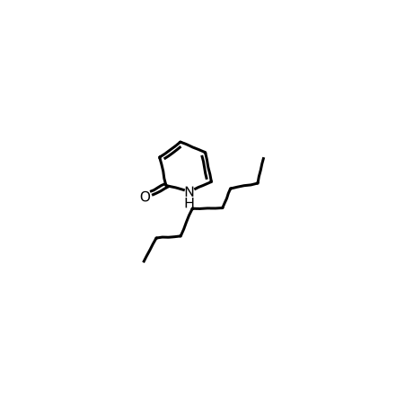 CCCCCCCC.O=c1cccc[nH]1